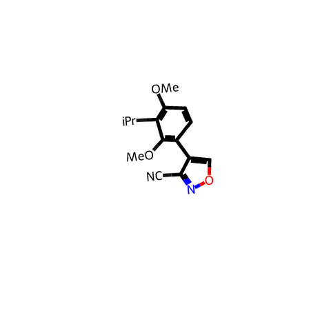 COc1ccc(-c2conc2C#N)c(OC)c1C(C)C